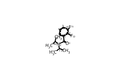 CC(C)N(C(=O)c1cccc(F)c1F)C(C)C